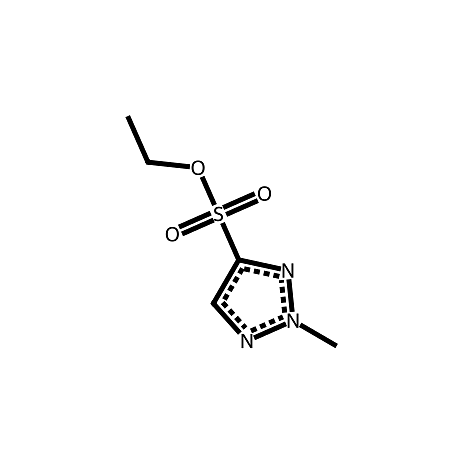 CCOS(=O)(=O)c1cnn(C)n1